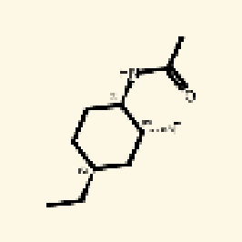 CC[C@H]1CC[C@@H](NC(C)=O)[C@H](F)C1